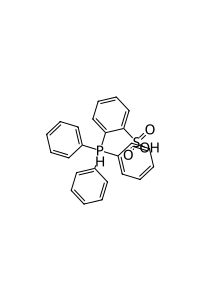 O=S(=O)(O)c1ccccc1[PH](c1ccccc1)(c1ccccc1)c1ccccc1